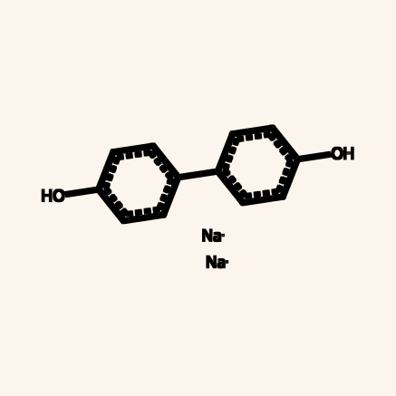 Oc1ccc(-c2ccc(O)cc2)cc1.[Na].[Na]